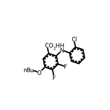 CCCCOc1cc(C(=O)O)c(Nc2ccccc2Cl)c(F)c1F